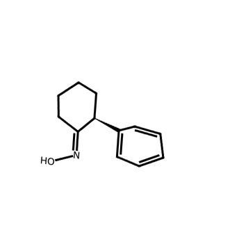 O/N=C1\CCCC[C@H]1c1ccccc1